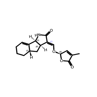 CC1=C[C@H](O/C=C2/C(=O)N[C@@H]3C4=CCCC[C@H]4C[C@H]23)OC1=O